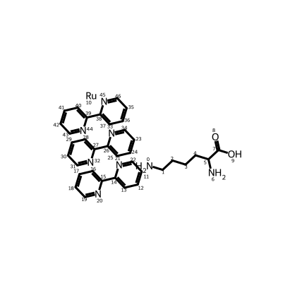 NCCCCC(N)C(=O)O.[Ru].c1ccc(-c2ccccn2)nc1.c1ccc(-c2ccccn2)nc1.c1ccc(-c2ccccn2)nc1